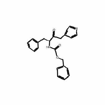 O=C(N[C@@H](Cc1ccccc1)C(=O)Cc1ccncc1)OCc1ccccc1